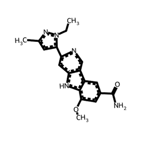 CCn1nc(C)cc1-c1cc2[nH]c3c(OC)cc(C(N)=O)cc3c2cn1